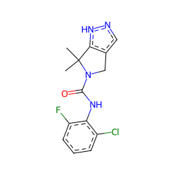 CC1(C)c2[nH]ncc2CN1C(=O)Nc1c(F)cccc1Cl